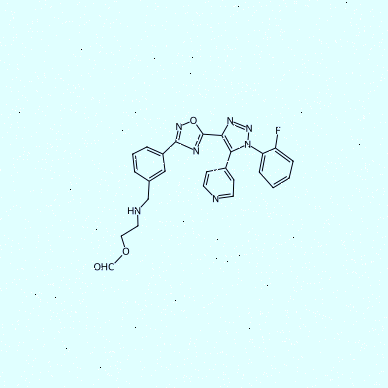 O=COCCNCc1cccc(-c2noc(-c3nnn(-c4ccccc4F)c3-c3ccncc3)n2)c1